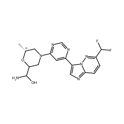 C[C@@H]1CN(c2cc(-c3cnc4ccc(C(F)F)nn34)ncn2)CC(C(N)O)O1